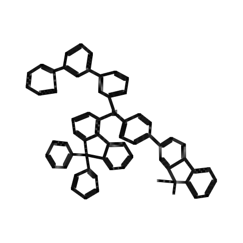 CC1(C)c2ccccc2-c2ccc(-c3ccc(N(c4cccc(-c5cccc(-c6ccccc6)c5)c4)c4cccc5c4-c4ccccc4C5(c4ccccc4)c4ccccc4)cc3)cc21